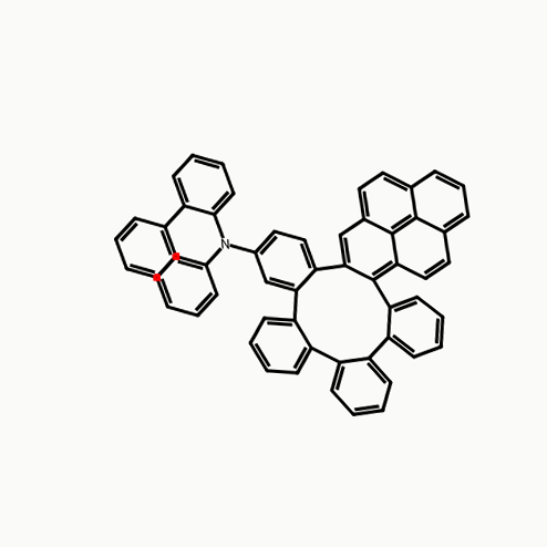 c1ccc(-c2ccccc2N(c2ccccc2)c2ccc3c(c2)c2ccccc2c2ccccc2c2ccccc2c2c3cc3ccc4cccc5ccc2c3c45)cc1